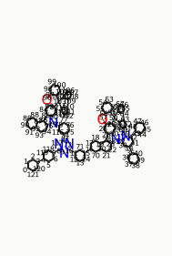 c1ccc(-c2ccc(-c3nc(-c4cccc(-c5ccc6c(ccc7c6c6cc8c(cc6n7-c6cc(-c7ccccc7)cc(-c7ccccc7)n6)C6(c7ccccc7O8)c7ccccc7-c7ccccc76)c5)c4)nc(-c4cccc(-n5c6cc7c(cc6c6c8ccccc8ccc65)Oc5ccccc5C75c6ccccc6-c6ccccc65)c4)n3)cc2)cc1